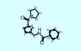 O=C(NCc1ccc(C(=O)N2CCCC2)s1)c1ccccc1